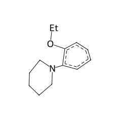 CCOc1ccccc1N1CCCCC1